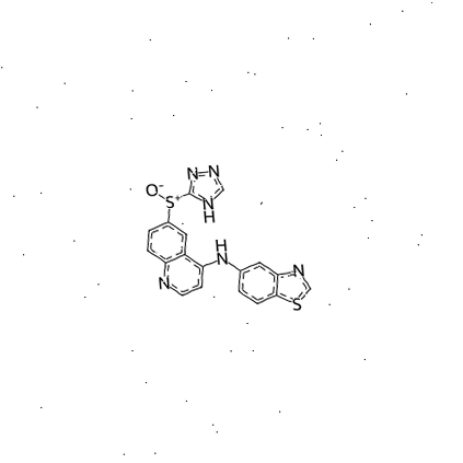 [O-][S+](c1ccc2nccc(Nc3ccc4scnc4c3)c2c1)c1nnc[nH]1